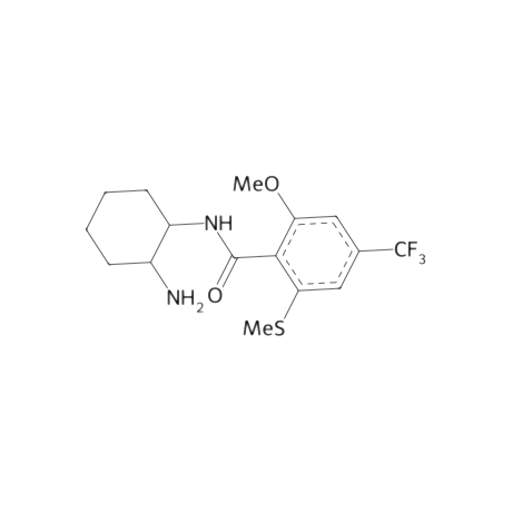 COc1cc(C(F)(F)F)cc(SC)c1C(=O)NC1CCCCC1N